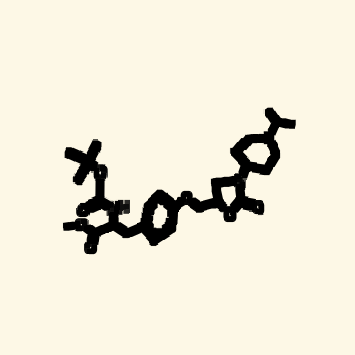 COC(=O)C(Cc1ccc(OCC2CN(C3CCN(C(C)C)CC3)C(=O)O2)cc1)NC(=O)OC(C)(C)C